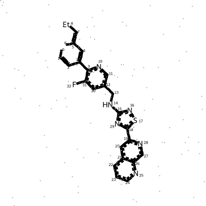 C\C=C/C(=C\C(C)=C\CC)c1ncc(CNc2nsc(-c3cc4cccnc4cn3)n2)cc1F